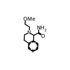 COCCN1CCc2c[c]ccc2C1C(N)=O